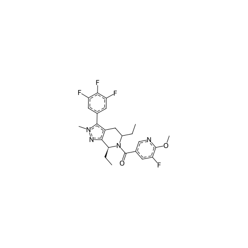 CCC1Cc2c(nn(C)c2-c2cc(F)c(F)c(F)c2)[C@H](CC)N1C(=O)c1cnc(OC)c(F)c1